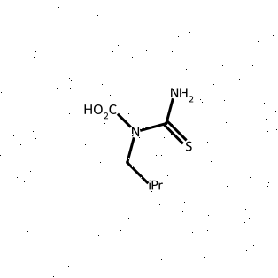 CC(C)CN(C(=O)O)C(N)=S